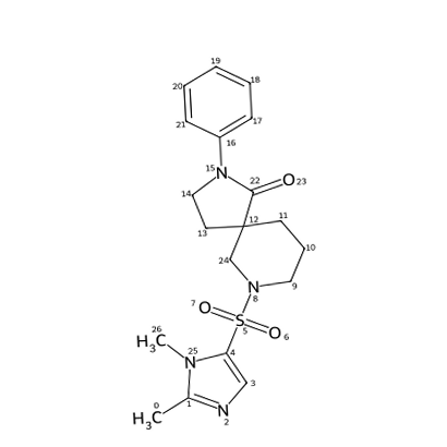 Cc1ncc(S(=O)(=O)N2CCCC3(CCN(c4ccccc4)C3=O)C2)n1C